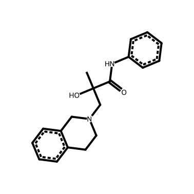 CC(O)(CN1CCc2ccccc2C1)C(=O)Nc1ccccc1